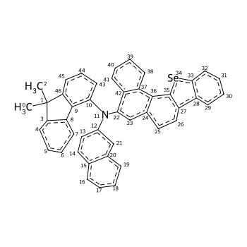 CC1(C)c2ccccc2-c2c(N(c3ccc4ccccc4c3)c3cc4ccc5c6ccccc6[se]c5c4c4ccccc34)cccc21